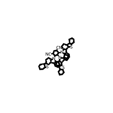 N#Cc1cc(C#N)c(-n2c3ccccc3c3c4sc5ccccc5c4ccc32)c(-n2c3ccccc3c3c4sc5ccccc5c4ccc32)c1-n1c2ccccc2c2c3sc4ccccc4c3ccc21